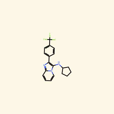 FC(F)(F)c1ccc(-c2nc3ccccn3c2NC2CCCC2)cc1